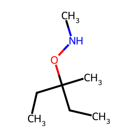 CCC(C)(CC)ONC